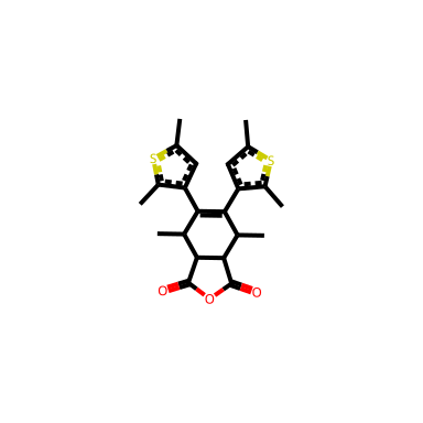 Cc1cc(C2=C(c3cc(C)sc3C)C(C)C3C(=O)OC(=O)C3C2C)c(C)s1